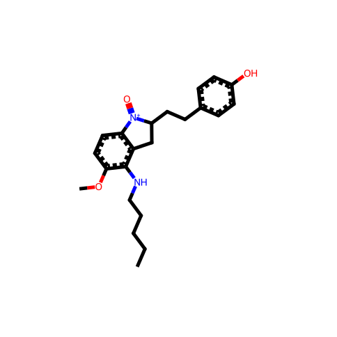 CCCCCNc1c(OC)ccc2c1CC(CCc1ccc(O)cc1)[N+]2=O